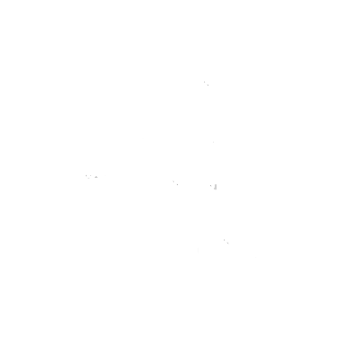 COc1ccc2c3c(c(NCCN(C)C)nc2c1)C(=O)c1cnccc1-3